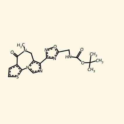 CN1Cc2c(-c3noc(CNC(=O)OC(C)(C)C)n3)ncn2-c2sccc2C1=O